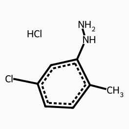 Cc1ccc(Cl)cc1NN.Cl